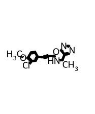 COc1ccc(C#CC(=O)NC(C)c2cncnc2)cc1Cl